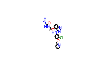 CNCC(=O)NC[C@@H](C)Oc1cccc2ncnc(Nc3ccc(OCc4ccccn4)c(Cl)c3)c12